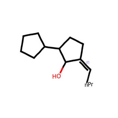 CCC/C=C1/CCC(C2CCCC2)C1O